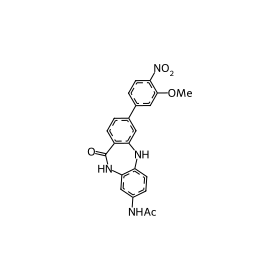 COc1cc(-c2ccc3c(c2)Nc2ccc(NC(C)=O)cc2NC3=O)ccc1[N+](=O)[O-]